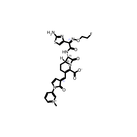 C[n+]1cccc(N2C=C/C(=C\C3=C(C(=O)[O-])N4C(=O)[C@@H](NC(=O)/C(=N\OCCF)c5csc(N)n5)[C@H]4CC3)C2=O)c1